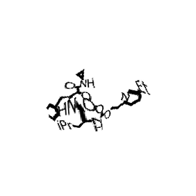 C/C=C\C(=C/C)C[C@H](NC(=O)[C@H](CC(C)C)NC(=O)OCCc1ccc(CC)cn1)C(=O)C(=O)NC1CC1